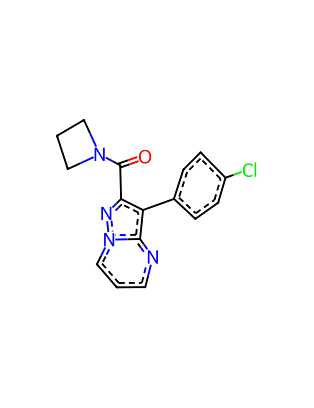 O=C(c1nn2cccnc2c1-c1ccc(Cl)cc1)N1CCC1